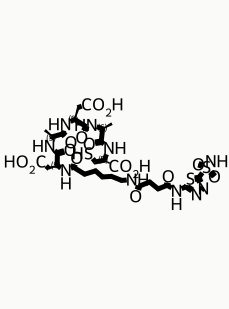 C[C@H](NC(=O)[C@H](CC(=O)O)NC(=O)CCCCCNC(=O)CCC(=O)Nc1nnc(S(N)(=O)=O)s1)C(=O)N[C@@H](CC(=O)O)C(=O)N[C@@H](C)C(=O)N[C@@H](CS)C(=O)O